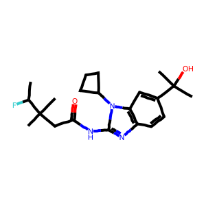 CC(F)C(C)(C)CC(=O)Nc1nc2ccc(C(C)(C)O)cc2n1C1CCC1